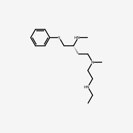 CCNCCN(C)CC[C@H](CSc1ccccc1)NC